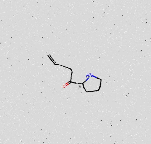 C=CCC(=O)[C@@H]1CCCN1